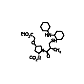 C1CCC(NC2CCCCC2)CC1.CCOC(=O)CO[C@@H]1C[C@@H](C(=O)O)N(C(=O)[C@H](C)CS)C1